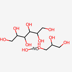 O=NO.OCC(O)C(O)C(O)C(O)CO.OCC(O)CO